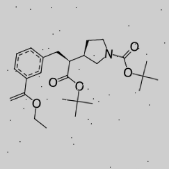 C=C(OCC)c1cccc(C[C@H](C(=O)OC(C)(C)C)[C@H]2CCN(C(=O)OC(C)(C)C)C2)c1